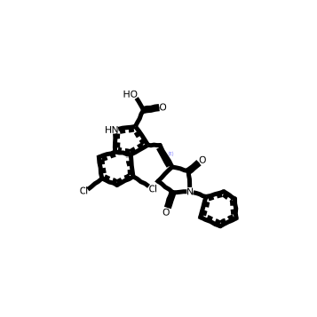 O=C(O)c1[nH]c2cc(Cl)cc(Cl)c2c1/C=C1\CC(=O)N(c2ccccc2)C1=O